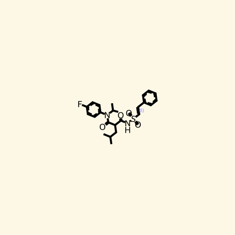 CC(C)CC(C(=O)NS(=O)(=O)/C=C/c1ccccc1)C(=O)N(c1ccc(F)cc1)C(C)C